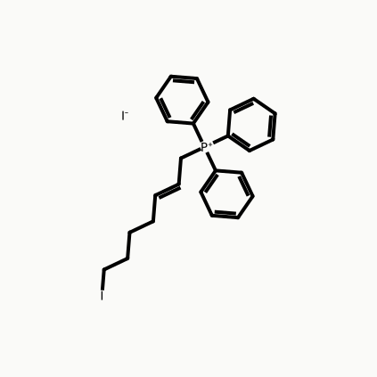 ICCCCC=CC[P+](c1ccccc1)(c1ccccc1)c1ccccc1.[I-]